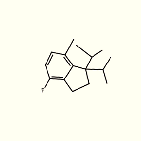 Cc1ccc(F)c2c1C(C(C)C)(C(C)C)CC2